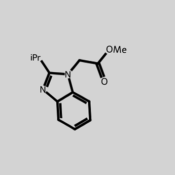 COC(=O)Cn1c(C(C)C)nc2ccccc21